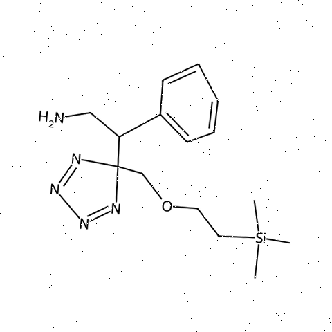 C[Si](C)(C)CCOCC1(C(CN)c2ccccc2)N=NN=N1